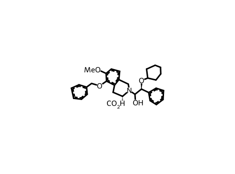 COc1ccc2c(c1OCc1ccccc1)C[C@@H](C(=O)O)N(C(O)[C@@H](OC1CCCCC1)c1ccccc1)C2